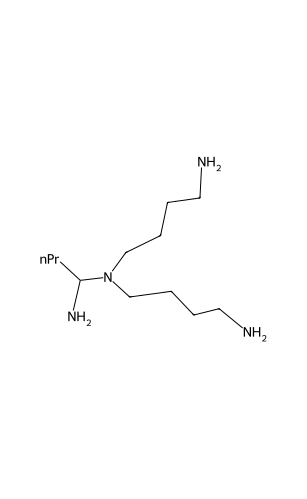 CCCC(N)N(CCCCN)CCCCN